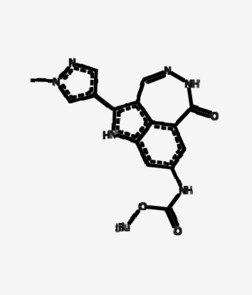 Cn1cc(-c2[nH]c3cc(NC(=O)OC(C)(C)C)cc4c3c2C=NNC4=O)cn1